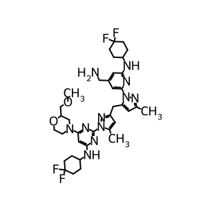 COCC1CN(c2cc(NC3CCC(F)(F)CC3)nc(-n3nc(Cc4cc(C)nn4-c4cc(CN)cc(NC5CCC(F)(F)CC5)n4)cc3C)n2)CCO1